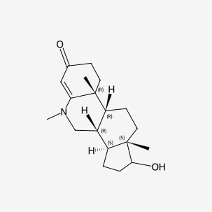 CN1C[C@@H]2[C@@H](CC[C@]3(C)C(O)CC[C@@H]23)[C@@]2(C)CCC(=O)C=C12